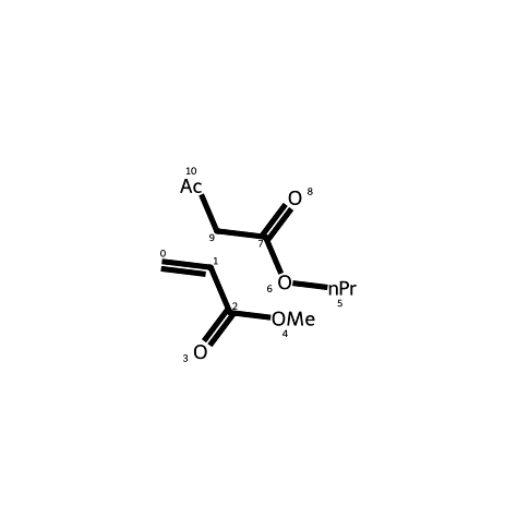 C=CC(=O)OC.CCCOC(=O)CC(C)=O